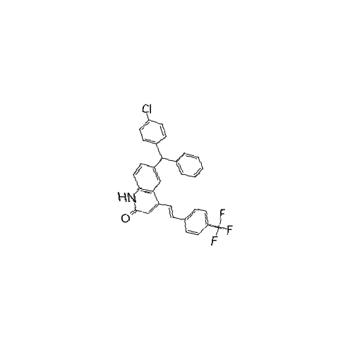 O=c1cc(C=Cc2ccc(C(F)(F)F)cc2)c2cc(C(c3ccccc3)c3ccc(Cl)cc3)ccc2[nH]1